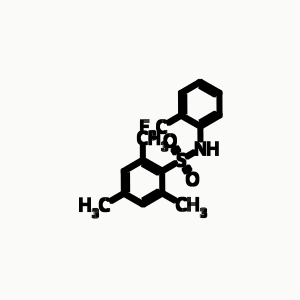 Cc1cc(C)c(S(=O)(=O)Nc2ccccc2C(F)(F)F)c(C)c1